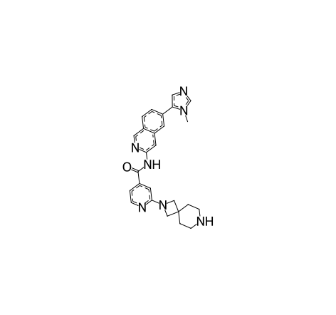 Cn1cncc1-c1ccc2cnc(NC(=O)c3ccnc(N4CC5(CCNCC5)C4)c3)cc2c1